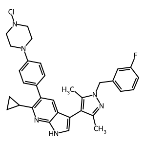 Cc1nn(Cc2cccc(F)c2)c(C)c1-c1c[nH]c2nc(C3CC3)c(-c3ccc(N4CCN(Cl)CC4)cc3)cc12